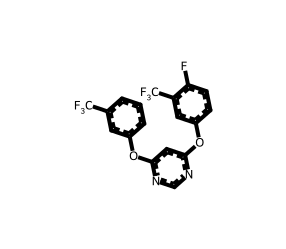 Fc1ccc(Oc2cc(Oc3cccc(C(F)(F)F)c3)ncn2)cc1C(F)(F)F